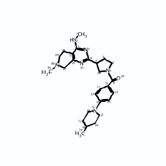 CNc1nc(C2CCN(C(=O)c3ccc(N4CCC(C)CC4)cc3)C2)nc2c1CCN(C)C2